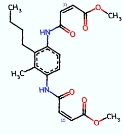 CCCCc1c(NC(=O)/C=C\C(=O)OC)ccc(NC(=O)/C=C\C(=O)OC)c1C